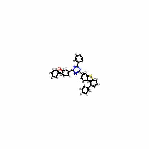 c1ccc(-c2nc(-c3ccc4c(c3)oc3ccccc34)nc(-c3ccc4c(c3)sc3cccc(-c5ccccc5)c34)n2)cc1